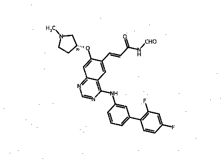 CN1CC[C@@H](Oc2cc3ncnc(Nc4cccc(-c5ccc(F)cc5F)c4)c3cc2C=CC(=O)NC=O)C1